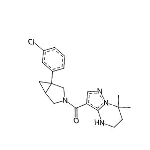 CC1(C)CCNc2c(C(=O)N3CC4CC4(c4cccc(Cl)c4)C3)cnn21